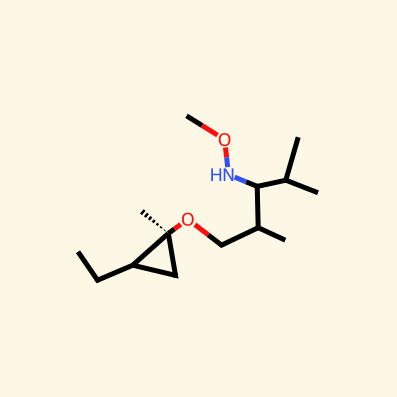 CCC1C[C@]1(C)OCC(C)C(NOC)C(C)C